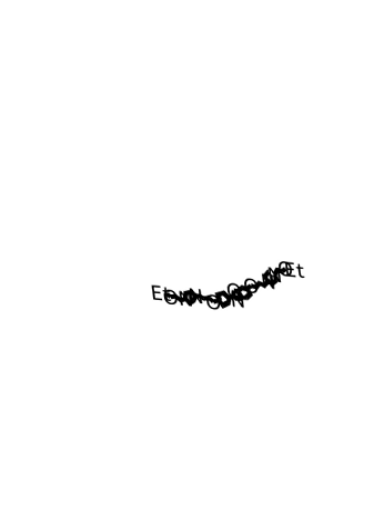 CCOCCN1CCN(CCCOc2ccc(-c3nc4ccc(OCCCN5CCN(CCOCC)CC5)cc4o3)cc2)CC1